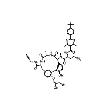 Cc1nc(-c2ccc(C(C)(C)C)cc2)nc(C)c1C(=O)N[C@@H](CCN)C(=O)N(C)[C@@H]1C(=O)N[C@@H](C)C(=O)N[C@H](C(=O)NCC#N)Cc2ccc(O/C=C(/O)CN)c(c2)-c2cc1ccc2O